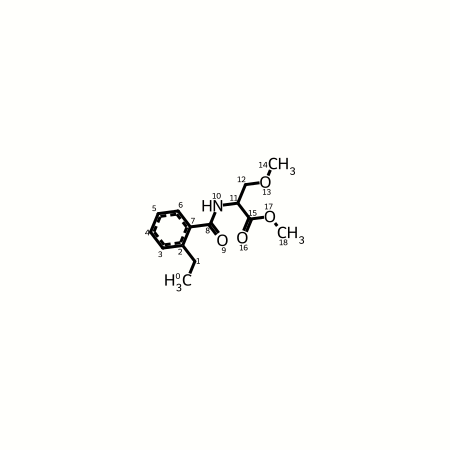 CCc1ccccc1C(=O)NC(COC)C(=O)OC